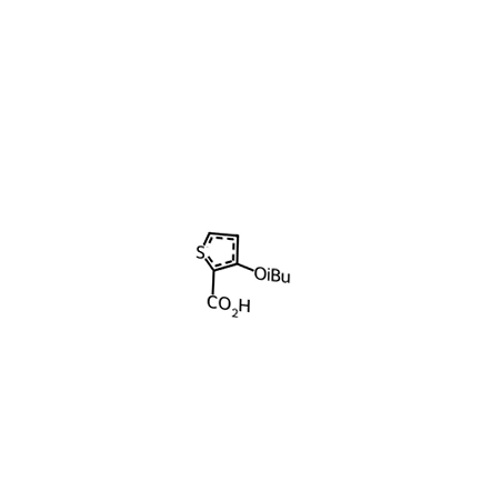 CC(C)COc1ccsc1C(=O)O